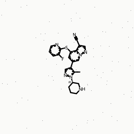 Cc1c(-c2cc(Sc3ncccc3F)c3c(C#N)cnn3c2)cnn1[C@@H]1CCCNC1